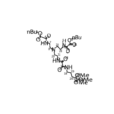 CCCCOC(=O)C(=O)NCCN(CCNC(=O)C(=O)NCCC[Si](OC)(OC)OC)CCNC(=O)C(=O)OCCCC